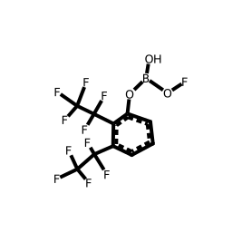 OB(OF)Oc1cccc(C(F)(F)C(F)(F)F)c1C(F)(F)C(F)(F)F